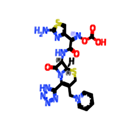 Nc1nc(/C(=N/OC(=O)O)C(=O)N[C@@H]2C(=O)N3C(c4nnn[nH]4)=C(C[n+]4ccccc4)CS[C@H]23)cs1